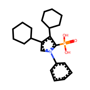 O=P(O)(O)c1c(C2CCCCC2)c(C2CCCCC2)cn1-c1ccccc1